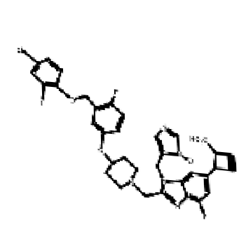 CCn1cncc1Cn1c(CN2CCC(Oc3ccc(F)c(COc4ccc(Cl)cc4F)c3)CC2)nc2c(F)cc(C3C#CC3C(=O)O)cc21